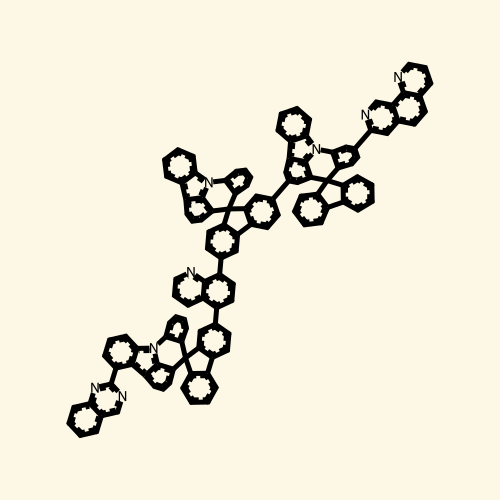 c1ccc2c(c1)-c1ccccc1C21c2ccc(-c3cc4ccc5cccnc5c4cn3)cc2-n2c3ccccc3c3cc(-c4ccc5c(c4)C4(c6ccc(-c7ccc(-c8ccc9c(c8)C8(c%10ccccc%10-9)c9ccccc9-n9c%10cccc(-c%11ncc%12ccccc%12n%11)c%10c%10cccc8c%109)c8cccnc78)cc6-5)c5ccccc5-n5c6ccccc6c6cccc4c65)cc1c32